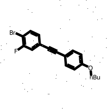 CCCCOc1ccc(C#Cc2ccc(Br)c(F)c2)cc1